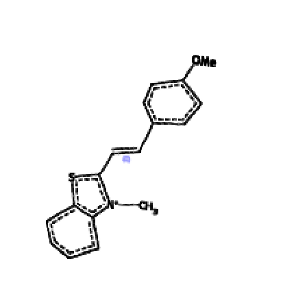 COc1ccc(/C=C/c2sc3ccccc3[n+]2C)cc1